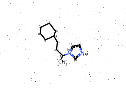 CC(CCC1CCCCC1)n1ccnc1